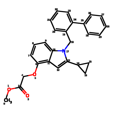 COC(=O)COc1cccc2c1cc(C1CC1)n2Cc1ccccc1-c1ccccc1